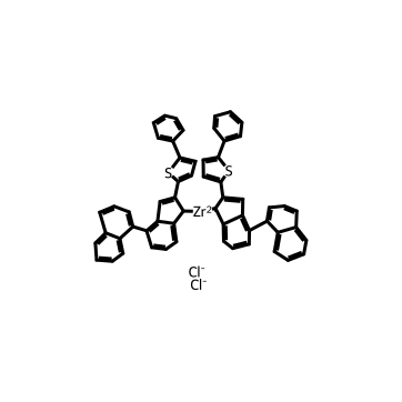 C1=C(c2ccc(-c3ccccc3)s2)[CH]([Zr+2][CH]2C(c3ccc(-c4ccccc4)s3)=Cc3c(-c4cccc5ccccc45)cccc32)c2cccc(-c3cccc4ccccc34)c21.[Cl-].[Cl-]